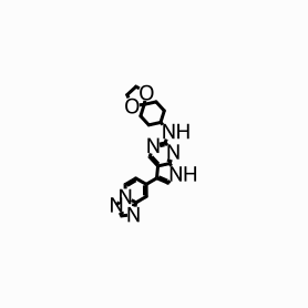 c1nc2cc(-c3c[nH]c4nc(NC5CCC6(CC5)OCCO6)ncc34)ccn2n1